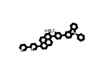 Cc1cc(-c2ccc3c(c2)c2ccccc2n3-c2ccccc2)ccc1-c1c(C)cc2ccc3c(-c4ccc(-c5cccnc5)nc4)ccc4ccc1c2c43